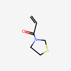 C=CC(=O)N1CCSC1